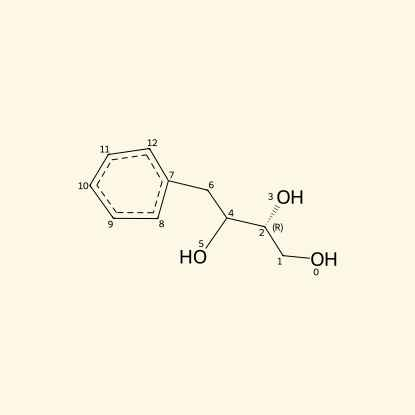 OC[C@@H](O)C(O)Cc1ccccc1